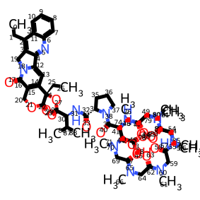 CCc1c2c(nc3ccccc13)-c1cc3c(c(=O)n1C2)COC(=O)[C@@]3(CC)OC(=O)[C@@H](NC(=O)[C@@H]1CCCN1C(=O)[C@H](CC(=O)O)NC(=O)CN(C)C(=O)CN(C)C(=O)CN(C)C(=O)CN(C)C(=O)CN(C)C(=O)CN(C)C(=O)CN(C)C(=O)CNC)C(C)C